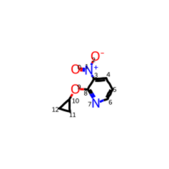 O=[N+]([O-])c1cccnc1OC1CC1